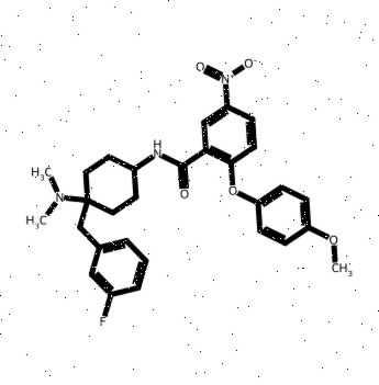 COc1ccc(Oc2ccc([N+](=O)[O-])cc2C(=O)NC2CCC(Cc3cccc(F)c3)(N(C)C)CC2)cc1